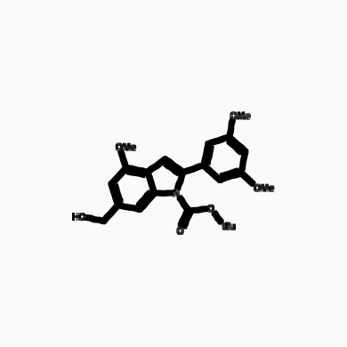 COc1cc(OC)cc(-c2cc3c(OC)cc(CO)cc3n2C(=O)OC(C)(C)C)c1